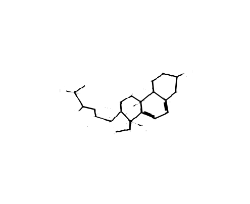 CC(C)[C@@H](C)C(O)C[C@@H](C)[C@H]1CC[C@H]2C3=CC=C4CC(O)CC[C@]4(C)[C@H]3CC[C@]12C